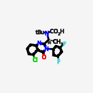 C[C@H](c1nc2cccc(Cl)c2c(=O)n1-c1cc(F)cc(F)c1)N(C(=O)O)C(C)(C)C